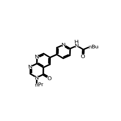 CCCCC(=O)Nc1ccc(-c2cnc3ncn(CCC)c(=O)c3c2)cn1